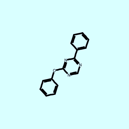 c1ccc(Oc2ncnc(-c3ccccc3)n2)cc1